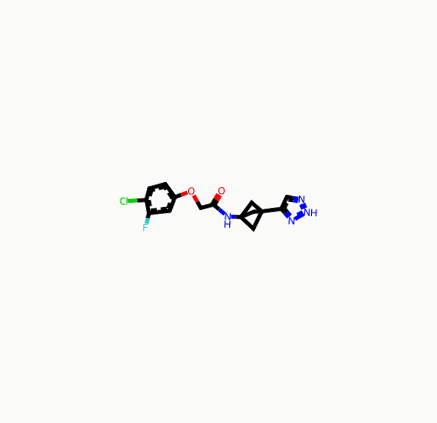 O=C(COc1ccc(Cl)c(F)c1)NC12CC(c3cn[nH]n3)(C1)C2